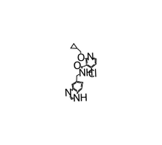 O=C(NCc1ccc2[nH]cnc2c1)c1c(Cl)ccnc1OCC1CC1